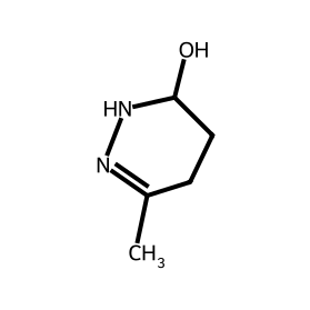 CC1=NNC(O)CC1